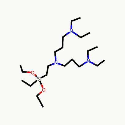 CCO[Si](CC)(CCN(CCCN(CC)CC)CCCN(CC)CC)OCC